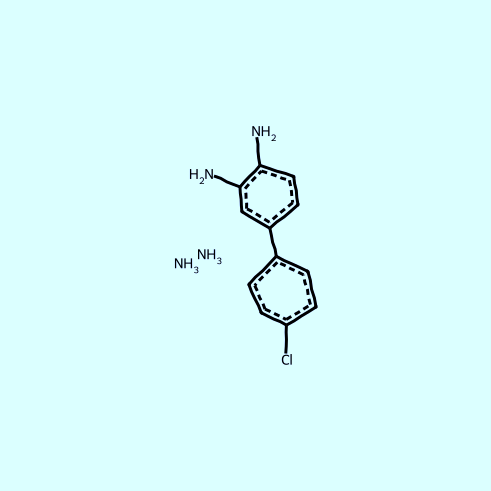 N.N.Nc1ccc(-c2ccc(Cl)cc2)cc1N